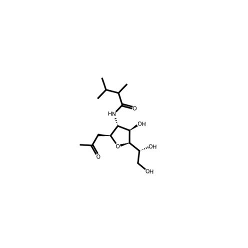 CC(=O)C[C@@H]1O[C@H]([C@H](O)CO)[C@H](O)[C@H]1NC(=O)C(C)C(C)C